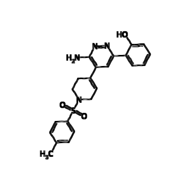 Cc1ccc(S(=O)(=O)N2CC=C(c3cc(-c4ccccc4O)nnc3N)CC2)cc1